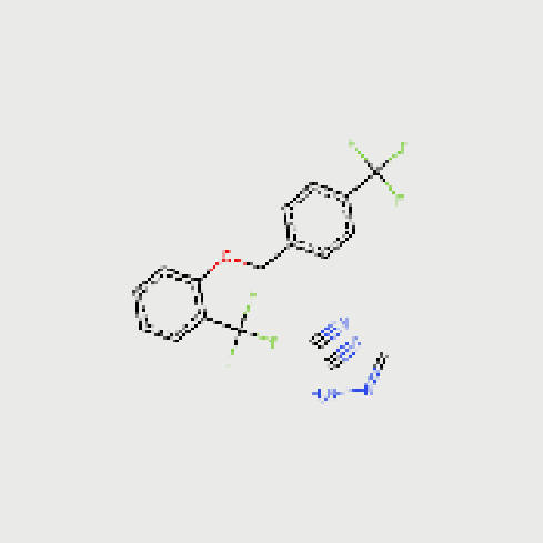 C#N.C#N.C=NN.FC(F)(F)c1ccc(COc2ccccc2C(F)(F)F)cc1